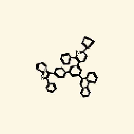 c1ccc(-c2ccc(-c3cc(-c4ccc(-c5c(-c6ccccc6)nc6ccccn56)cc4)cc(-c4cc5ccccc5c5ccccc45)c3)c(-c3ccccc3)n2)cc1